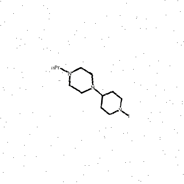 CCCN1CCN(C2CCN(I)CC2)CC1